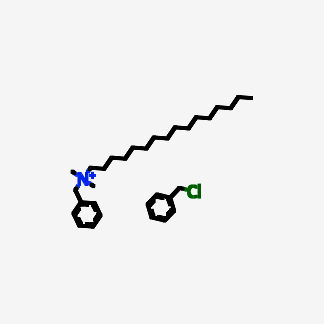 CCCCCCCCCCCCCCCC[N+](C)(C)Cc1ccccc1.ClCc1ccccc1